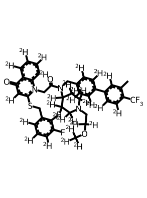 [2H]c1c([2H])c(F)c(F)c(CSc2c([2H])c(=O)c3c([2H])c([2H])c([2H])c([2H])c3n2CC(=O)N(Cc2c([2H])c([2H])c(-c3c([2H])c([2H])c(C(F)(F)F)c(C)c3[2H])c([2H])c2[2H])C2([2H])C([2H])([2H])C([2H])([2H])N(CC([2H])([2H])OC([2H])([2H])[2H])C([2H])([2H])C2([2H])[2H])c1[2H]